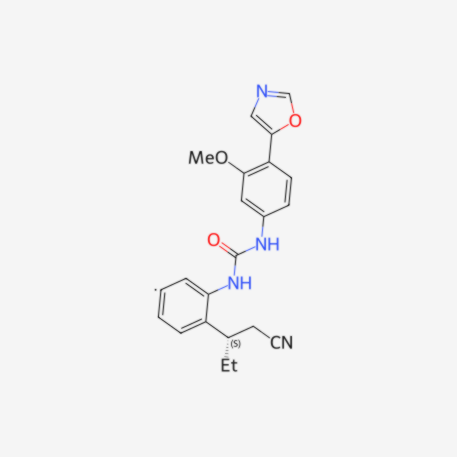 CC[C@@H](CC#N)c1cc[c]cc1NC(=O)Nc1ccc(-c2cnco2)c(OC)c1